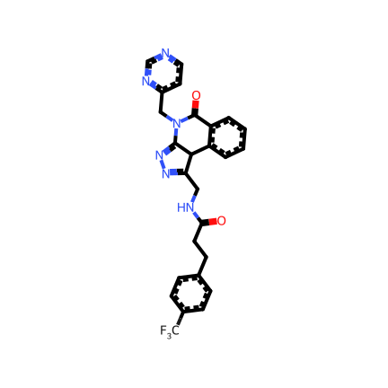 O=C(CCc1ccc(C(F)(F)F)cc1)NCC1=NN=C2C1c1ccccc1C(=O)N2Cc1ccncn1